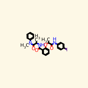 CC(NC(=O)c1ccccc1OC(C)C(=O)Nc1ccc(I)cc1)C(=O)N(C)c1ccccc1